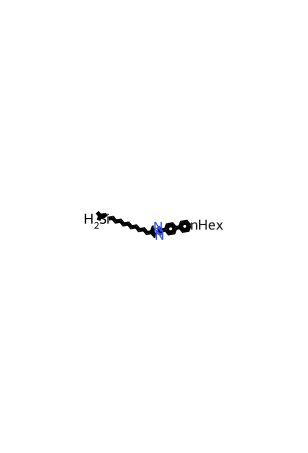 CCCCCCc1ccc(-c2ccc(-c3ncc(CCCCCCCCCC[SiH2]C=C(C)C)cn3)cc2)cc1